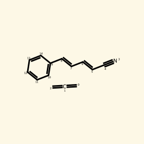 C=C=C.N#CC=CC=Cc1ccccc1